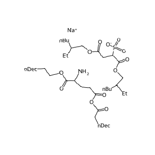 CCCCC(CC)COC(=O)CC(C(=O)OCC(CC)CCCC)S(=O)(=O)[O-].CCCCCCCCCCCCOC(=O)C(N)CCC(=O)OC(=O)CCCCCCCCCCC.[Na+]